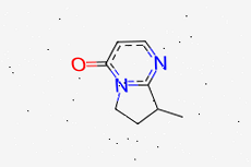 CC1CCn2c1nccc2=O